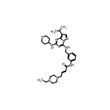 CCN1CCN(CC=CC(=O)Nc2cccc(CNc3nc(NC4CCOCC4)nc4c(C(C)C)cnn34)c2)CC1